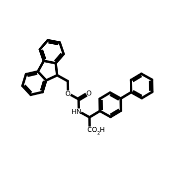 O=C(NC(C(=O)O)c1ccc(-c2ccccc2)cc1)OCC1c2ccccc2-c2ccccc21